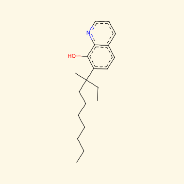 CCCCCCCC(C)(CC)c1ccc2cccnc2c1O